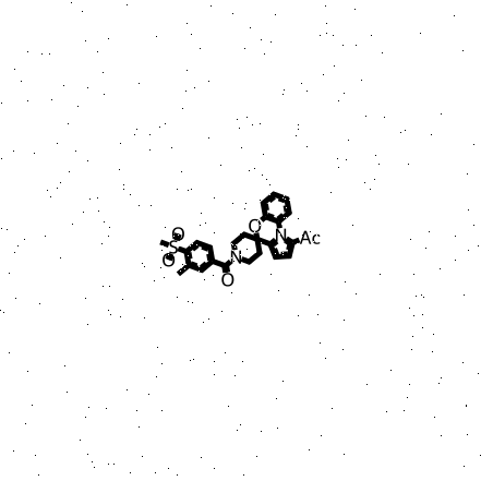 CC(=O)c1ccc2n1-c1ccccc1OC21CCN(C(=O)c2ccc(S(C)(=O)=O)c(C)c2)CC1